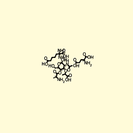 CC(=O)N[C@@H]1[C@@H](OC(C)C(=O)O)[C@H](OC(=O)[C@H](C)N)[C@@H](CO)O[C@@H]1O.NC(N)(CCCCC(=O)O)C(=O)O.N[C@H](CCC(=O)O)C(=O)O